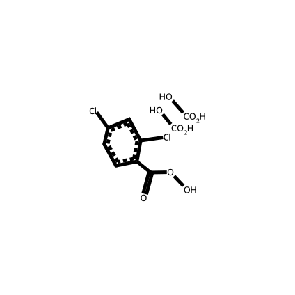 O=C(O)O.O=C(O)O.O=C(OO)c1ccc(Cl)cc1Cl